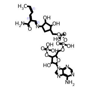 C\C=C/C=C(\C=N\C1CC(COP(=O)(O)OP(=O)(O)OCC2OC(n3cnc4c(N)ncnc43)C(O)C2OP(=O)(O)O)C(O)C1O)C(N)=O